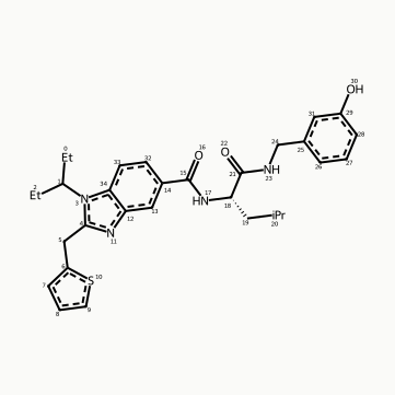 CCC(CC)n1c(Cc2cccs2)nc2cc(C(=O)N[C@@H](CC(C)C)C(=O)NCc3cccc(O)c3)ccc21